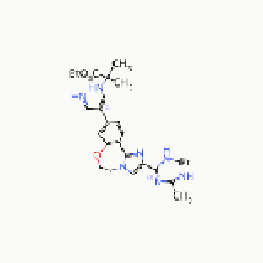 CCOC(=O)C(C)(C)N/C=C(\C=N)c1ccc2c(c1)OCCn1cc(/C(=N/C(C)=N)NC(C)C)nc1-2